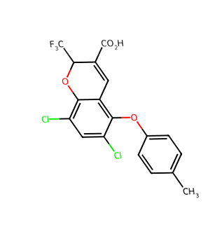 Cc1ccc(Oc2c(Cl)cc(Cl)c3c2C=C(C(=O)O)C(C(F)(F)F)O3)cc1